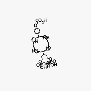 O=C(O)COc1ccc(-c2c3nc(cc4ccc([nH]4)c(C(CCOP(=O)(O)O)CCOP(=O)(O)O)c4nc(cc5ccc2[nH]5)C=C4)C=C3)cc1